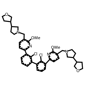 COc1nc(-c2cccc(-c3cccc(-c4ccc(CN5CCC(C6CCOC6)C5)c(OC)n4)c3Cl)c2Cl)ccc1CN1CCC(C2CCOC2)C1